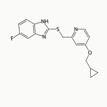 Fc1ccc2[nH]c(SCc3cc(OCC4CC4)ccn3)nc2c1